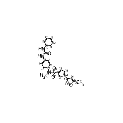 CN(c1ccc(NC(=O)Nc2ccccc2)cc1)S(=O)(=O)c1ccc(-c2cc(C(F)(F)F)on2)s1